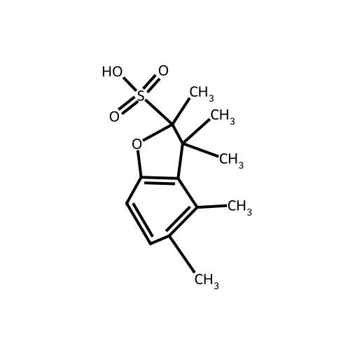 Cc1ccc2c(c1C)C(C)(C)C(C)(S(=O)(=O)O)O2